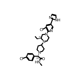 CC[C@H]1CN(c2ncc(-c3ncc[nH]3)cc2Cl)CCN1C1CCN([C@H](C(=O)NC)c2ccc(Cl)cc2)CC1